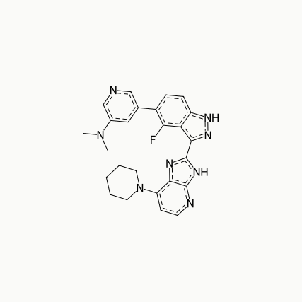 CN(C)c1cncc(-c2ccc3[nH]nc(-c4nc5c(N6CCCCC6)ccnc5[nH]4)c3c2F)c1